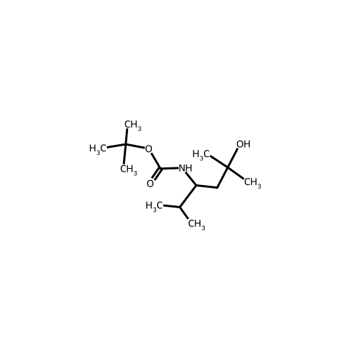 CC(C)C(CC(C)(C)O)NC(=O)OC(C)(C)C